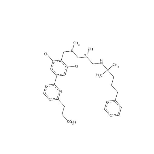 CN(Cc1c(Cl)cc(-c2cccc(CCC(=O)O)n2)cc1Cl)C[C@H](O)CNC(C)(C)CCCc1ccccc1